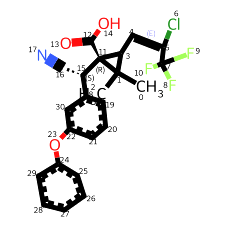 CC1(C)C(/C=C(/Cl)C(F)(F)F)[C@@]1(C(=O)O)[C@@H](C#N)c1cccc(Oc2ccccc2)c1